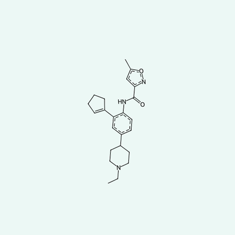 CCN1CCC(c2ccc(NC(=O)c3cc(C)on3)c(C3=CCCC3)c2)CC1